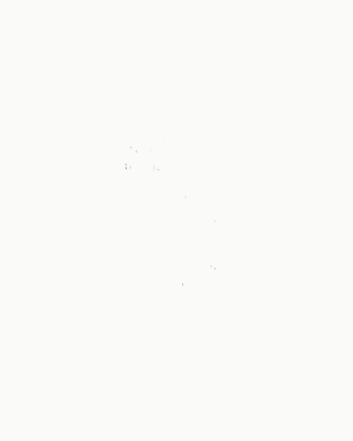 Cn1nc2c(F)cc(N3CC[C@@H](Oc4ccc(OCC5CC5)nc4)C3=O)cn2c1=O